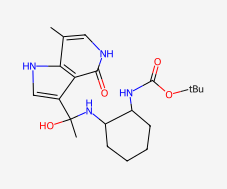 Cc1c[nH]c(=O)c2c(C(C)(O)NC3CCCCC3NC(=O)OC(C)(C)C)c[nH]c12